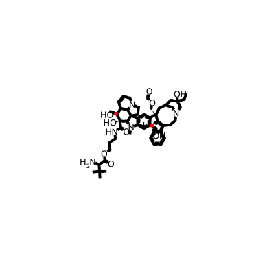 CCC1(O)CC2CN(CCc3c([nH]c4ccccc34)[C@@](COC=O)(c3cc4c(cc3CO)N(C)C3C45CCN4CC=C[C@](CC)(C45)[C@@H](O)[C@]3(O)C(=O)NCCCOC(=O)C(N)C(C)(C)C)C2)C1